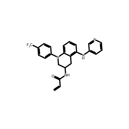 C=CC(=O)NC1Cc2c(Nc3cccnc3)cccc2N(c2ccc(C(F)(F)F)cc2)C1